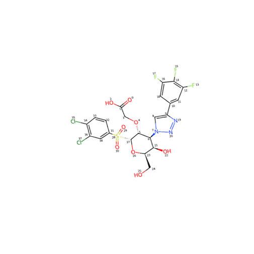 O=C(O)CO[C@@H]1[C@@H](n2cc(-c3cc(F)c(F)c(F)c3)nn2)[C@@H](O)[C@@H](CO)O[C@@H]1S(=O)(=O)c1ccc(Cl)c(Cl)c1